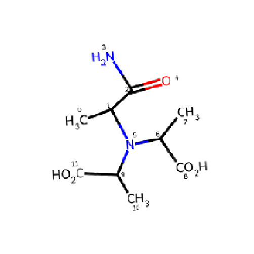 CC(C(N)=O)N(C(C)C(=O)O)C(C)C(=O)O